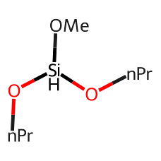 CCCO[SiH](OC)OCCC